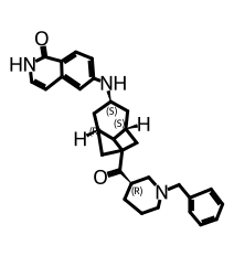 O=C([C@@H]1CCCN(Cc2ccccc2)C1)C12C[C@H]3C[C@H](Nc4ccc5c(=O)[nH]ccc5c4)C[C@@H](C1)C32